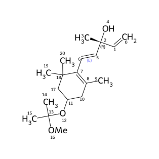 C=C[C@@](C)(O)/C=C/C1=C(C)CC(OC(C)(C)OC)CC1(C)C